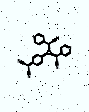 N#CC(C#N)=c1ccc(=C2C(=C(\C#N)c3ccncc3)/C2=C(\C#N)c2ccncc2)cc1